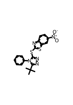 CC(C)(C)c1nnc(Sc2nc3ccc([N+](=O)[O-])cc3s2)n1-c1ccccc1